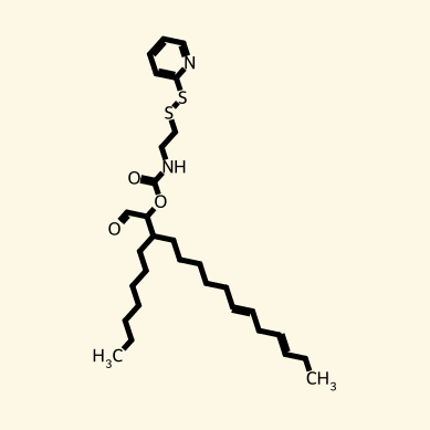 CC/C=C/C/C=C/CCCCCC(CCCCCCC)C(C=O)OC(=O)NCCSSc1ccccn1